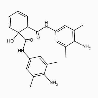 Cc1cc(NC(=O)C2C=CC=CC2(O)C(=O)Nc2cc(C)c(N)c(C)c2)cc(C)c1N